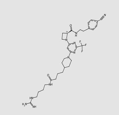 N#Cc1ccc(CCNC(=O)[C@@H]2CCN2c2cc(N3CCC(CCCC(=O)NCCCCNC(=N)N)CC3)nc(C(F)(F)F)n2)cc1